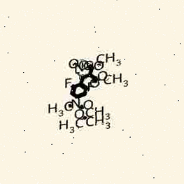 COC(=O)C(C(=O)OC)[C@@H](C[N+](=O)[O-])c1c(F)cc(N(C)C(=O)OC(C)(C)C)cc1F